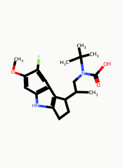 COc1cc2[nH]c3c(c2cc1F)C(C(C)CN(C(=O)O)C(C)(C)C)CC3